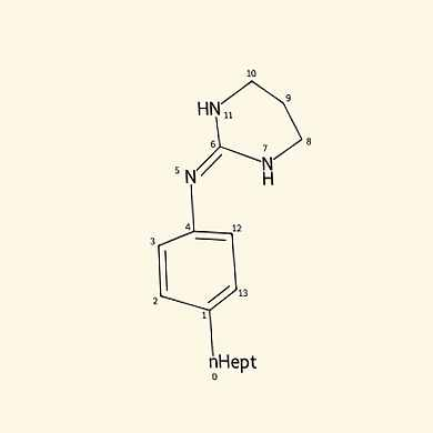 CCCCCCCc1ccc(N=C2NCCCN2)cc1